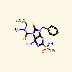 CCCS(=N)(=O)c1nc(N)c2c(n1)n(Cc1ccccc1)c(=O)n2C(=O)N(C)CC(=O)OCC